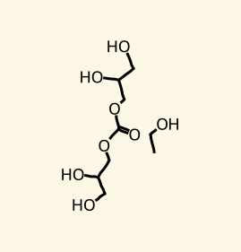 CCO.O=C(OCC(O)CO)OCC(O)CO